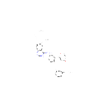 COCCOc1cc2ncnc(Nc3ccc(OCc4cccc(OC)c4)c(C4=CC(=O)C=CC4=O)c3)c2cc1OC